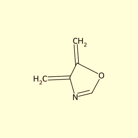 C=c1ncoc1=C